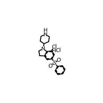 Cl.O=S(=O)(c1ccccc1)c1cc(Cl)c2c(c1)CCN2C1CCNCC1